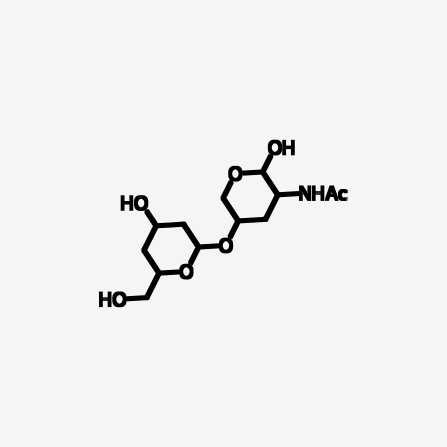 CC(=O)NC1CC(OC2CC(O)CC(CO)O2)COC1O